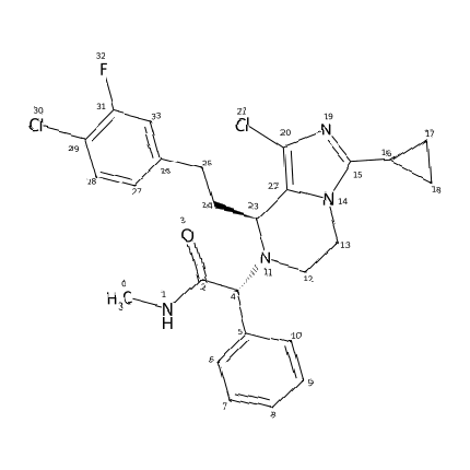 CNC(=O)[C@@H](c1ccccc1)N1CCn2c(C3CC3)nc(Cl)c2[C@@H]1CCc1ccc(Cl)c(F)c1